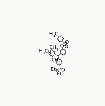 CCN(CC)C(=O)c1ccc(C(c2cccc(OS(=O)(=O)c3ccc(C)cc3)c2)c2cc(C)[n+](C)cc2C)cc1